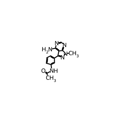 CC(=O)Nc1cccc(-c2nn(C)c3ncnc(N)c23)c1